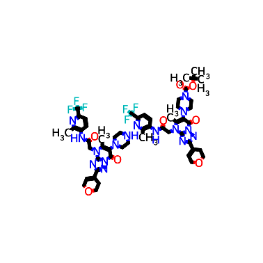 Cc1nc(C(F)(F)F)ccc1NC(=O)Cn1c(C)c(N2CCN(C(=O)OC(C)(C)C)CC2)c(=O)n2nc(C3=CCOCC3)nc12.Cc1nc(C(F)(F)F)ccc1NC(=O)Cn1c(C)c(N2CCNCC2)c(=O)n2nc(C3=CCOCC3)nc12